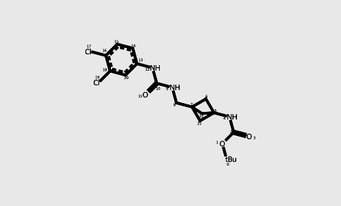 CC(C)(C)OC(=O)NC12CC(CNC(=O)Nc3ccc(Cl)c(Cl)c3)(C1)C2